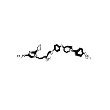 O=[N+]([O-])c1cn(CC[C@@H](O)COc2ccc(OC3CCN(c4ccc(OC(F)(F)F)cc4)CC3)cc2)c(Cl)n1